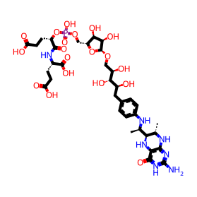 C[C@@H]1Nc2nc(N)[nH]c(=O)c2N[C@H]1[C@@H](C)Nc1ccc(C[C@H](O)[C@H](O)[C@H](O)CO[C@H]2O[C@H](COP(=O)(O)O[C@@H](CCC(=O)O)C(=O)N[C@@H](CCC(=O)O)C(=O)O)[C@@H](O)[C@H]2O)cc1